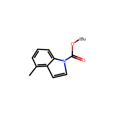 Cc1cccc2c1ccn2C(=O)OC(C)(C)C